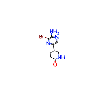 Nc1ncc(C2CCC(=O)NC2)nc1Br